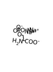 N[C@@H](COP(=O)([O-])[O-])C(=O)[O-].[Na+].[Na+].[Na+]